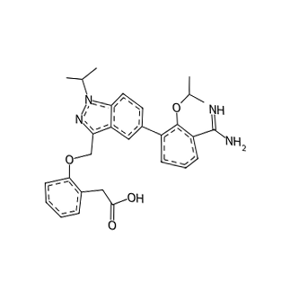 CC(C)Oc1c(C(=N)N)cccc1-c1ccc2c(c1)c(COc1ccccc1CC(=O)O)nn2C(C)C